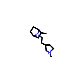 CC1CC2CCC1N2CCC1CCN(C)C1